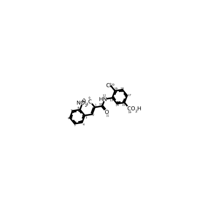 CC(=Cc1ccccc1[N+](=O)[O-])C(=O)Nc1cc(C(=O)O)ccc1Cl